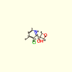 Cc1ccnc(C2(O)COC2)c1Cl